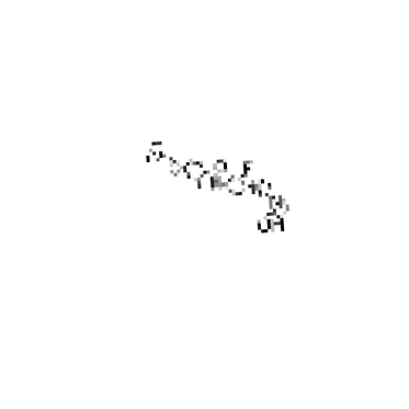 O=c1c2ccc(OC[C@H]3CCCO3)cc2ccn1-c1ccc(N2CCC(N3CCC[C@H]3CO)C2)c(F)c1